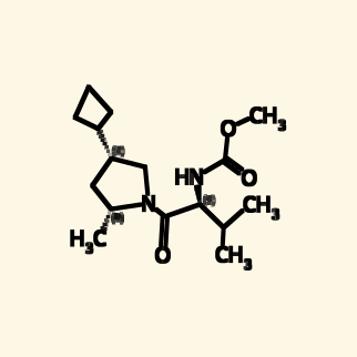 COC(=O)N[C@H](C(=O)N1C[C@@H](C2CCC2)C[C@H]1C)C(C)C